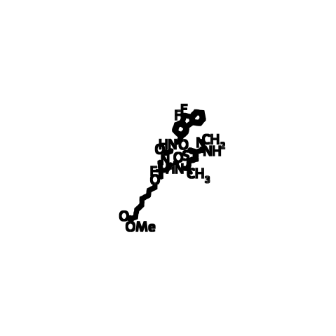 C=NC(=N)c1csc([C@@H](C)NC(=O)[C@@H]2C[C@](F)(COCCCCCCCC(=O)OC)CN2C(=O)CNC(=O)c2ccc3c(c2)-c2ccccc2C3(F)F)c1